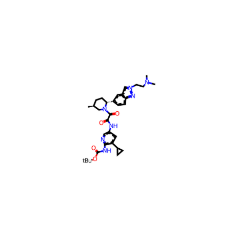 C[C@H]1CC[C@H](c2ccc3nn(CCN(C)C)cc3c2)N(C(=O)C(=O)Nc2cnc(NC(=O)OC(C)(C)C)c(C3CC3)c2)C1